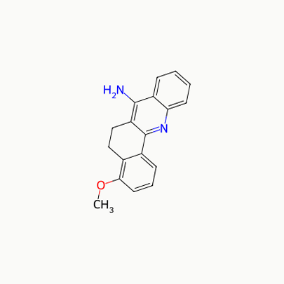 COc1cccc2c1CCc1c-2nc2ccccc2c1N